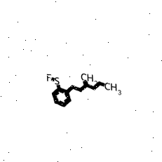 C=C(CCC)CCc1ccccc1SF